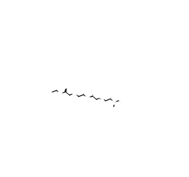 CCOC(=O)COCCOCCOCCN(C)C